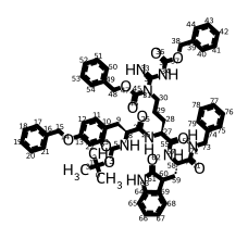 CC(C)(C)OC(=O)N[C@@H](Cc1ccc(OCc2ccccc2)cc1)C(=O)N[C@@H](CCCN(C(=N)NC(=O)OCc1ccccc1)C(=O)OCc1ccccc1)C(=O)N[C@@H](CC1C(=O)Nc2ccccc21)C(=O)NCc1ccccc1